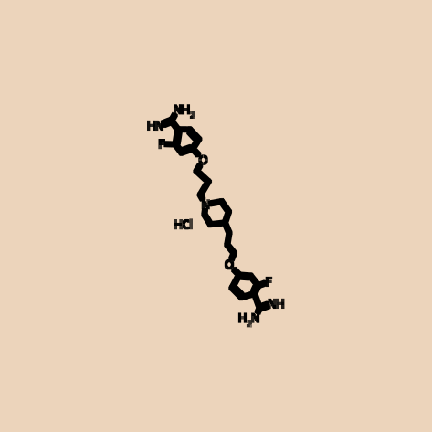 Cl.N=C(N)c1ccc(OCCCC2CCN(CCCOc3ccc(C(=N)N)c(F)c3)CC2)cc1F